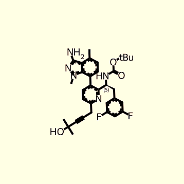 Cc1ccc(-c2ccc(CC#CC(C)(C)O)nc2[C@H](Cc2cc(F)cc(F)c2)NC(=O)OC(C)(C)C)c2c1c(N)nn2C